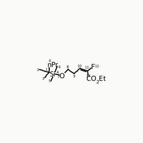 CCCC(C)(C)[Si](C)(C)OCC/C=C(/F)C(=O)OCC